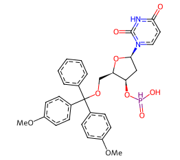 COc1ccc(C(OC[C@H]2O[C@@H](n3ccc(=O)[nH]c3=O)C[C@H]2O[PH](=O)O)(c2ccccc2)c2ccc(OC)cc2)cc1